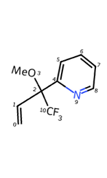 C=CC(OC)(c1ccccn1)C(F)(F)F